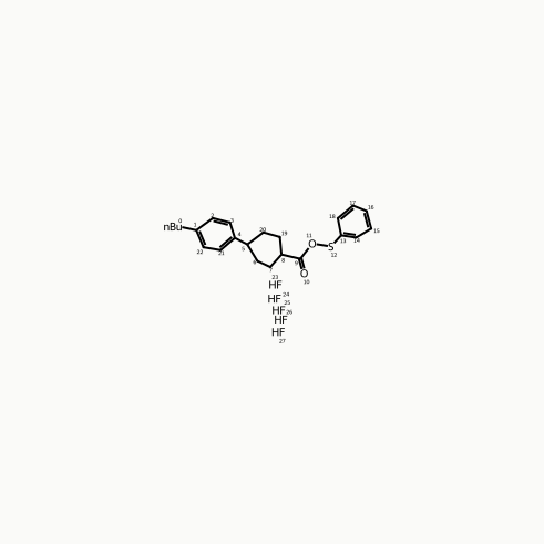 CCCCc1ccc(C2CCC(C(=O)OSc3ccccc3)CC2)cc1.F.F.F.F.F